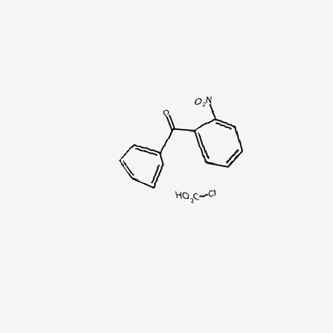 O=C(O)Cl.O=C(c1ccccc1)c1ccccc1[N+](=O)[O-]